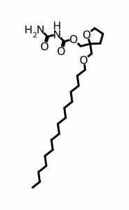 CCCCCCCCCCCCCCCCOCC1(COC(=O)NC(N)=O)CCCO1